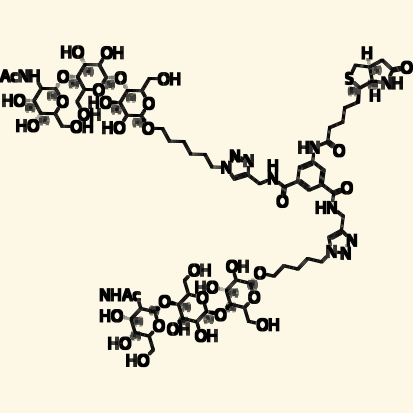 CC(=O)NC1[C@@H](O[C@H]2C(CO)O[C@@H](O[C@@H]3C(CO)O[C@@H](OCCCCCn4cc(CNC(=O)c5cc(NC(=O)CCCC[C@H]6SC[C@H]7CC(=O)N[C@H]76)cc(C(=O)NCc6cn(CCCCCCO[C@@H]7OC(CO)[C@@H](O[C@@H]8OC(CO)[C@H](O[C@@H]9OC(CO)[C@H](O)[C@H](O)C9NC(C)=O)[C@H](O)C8O)[C@H](O)C7O)nn6)c5)nn4)C(O)[C@H]3O)C(O)[C@H]2O)OC(CO)[C@H](O)[C@@H]1O